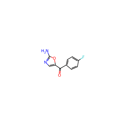 Nc1ncc(C(=O)c2ccc(F)cc2)o1